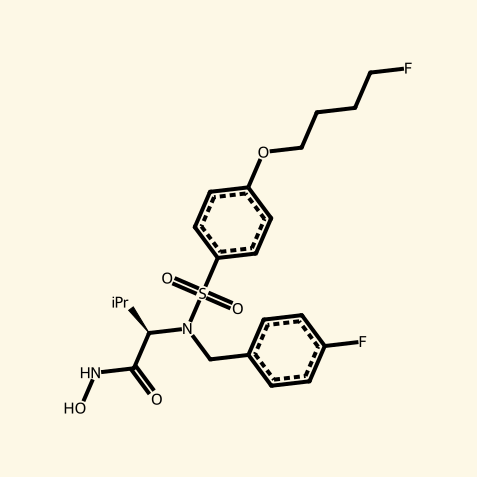 CC(C)[C@H](C(=O)NO)N(Cc1ccc(F)cc1)S(=O)(=O)c1ccc(OCCCCF)cc1